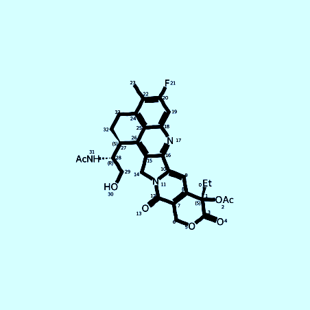 CC[C@@]1(OC(C)=O)C(=O)OCc2c1cc1n(c2=O)Cc2c-1nc1cc(F)c(C)c3c1c2[C@@H]([C@H](CO)NC(C)=O)CC3